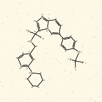 FC(F)(F)Oc1ccc(-c2ccc3nnc(C(F)(F)OCc4ccnc(N5CCCCC5)c4)n3c2)cc1